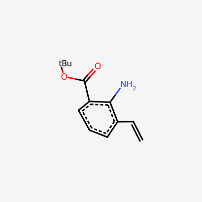 C=Cc1cccc(C(=O)OC(C)(C)C)c1N